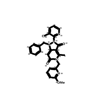 COc1cccc(Cn2c(C)c3c(=O)n(-c4ncccc4Cl)n(Cc4ccccc4)c3cc2=O)n1